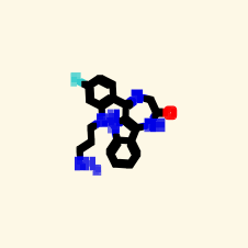 NCCCNc1cc(F)ccc1C1=NCC(=O)Nc2c1[nH]c1ccccc21